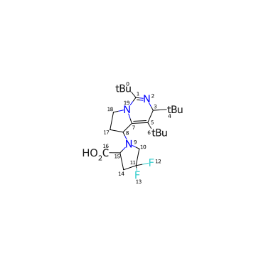 CC(C)(C)C1=NC(C(C)(C)C)C(C(C)(C)C)=C2C(N3CC(F)(F)CC3C(=O)O)CCN12